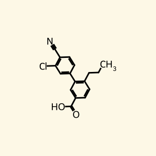 CCCc1ccc(C(=O)O)cc1-c1ccc(C#N)c(Cl)c1